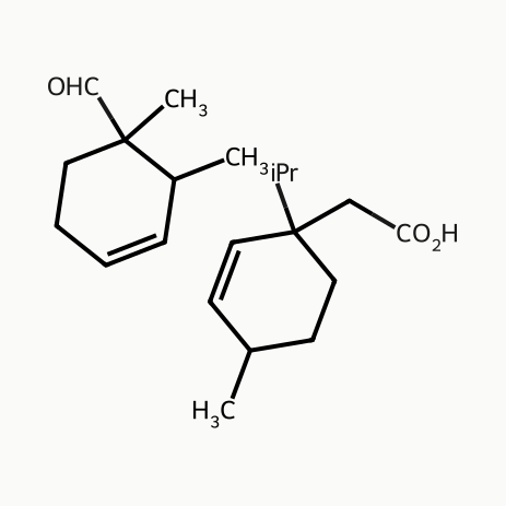 CC1C=CC(CC(=O)O)(C(C)C)CC1.CC1C=CCCC1(C)C=O